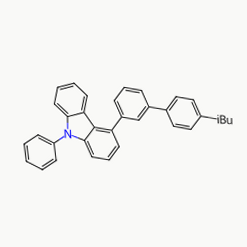 CCC(C)c1ccc(-c2cccc(-c3cccc4c3c3ccccc3n4-c3ccccc3)c2)cc1